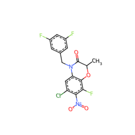 CC1Oc2c(cc(Cl)c([N+](=O)[O-])c2F)N(Cc2cc(F)cc(F)c2)C1=O